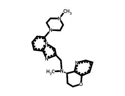 CN1CCN(c2cccc3nc(CN(C)[C@H]4CCOc5cccnc54)cn23)CC1